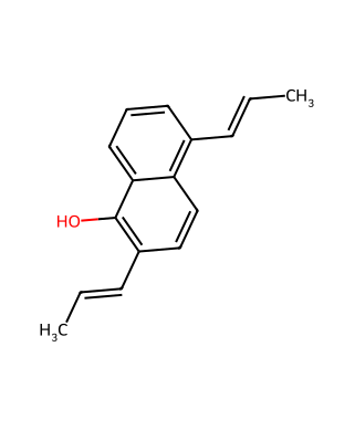 CC=Cc1ccc2c(C=CC)cccc2c1O